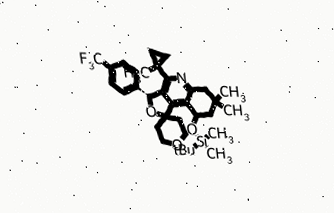 CC1(C)Cc2nc(C3(C)CC3)c3c(c2C(O[Si](C)(C)C(C)(C)C)C1)C1(CCOCC1)O[C@@H]3c1ccc(C(F)(F)F)cc1